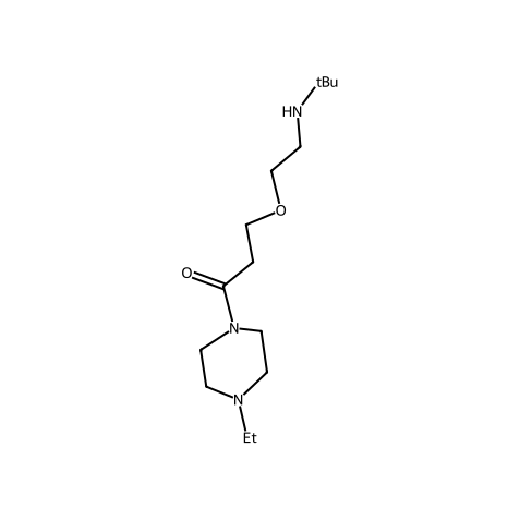 CCN1CCN(C(=O)CCOCCNC(C)(C)C)CC1